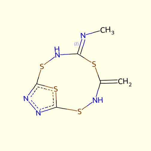 C=C1NSc2nnc(s2)SN/C(=N/C)S1